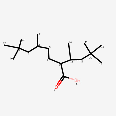 BC(=O)C(CCC(C)CC(C)(C)C)C(C)CC(C)(C)C